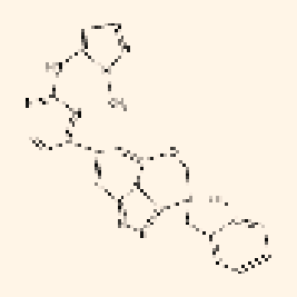 Cn1nccc1Nc1nccc(-c2cc3n4c(nnc4c2)C(C)(Cc2ccccc2)CO3)n1